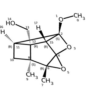 CO[C@]12OC34O[C@]3(C)[C@@]3(C)C[C@@H]1[C@@]3(CO)[C@@H]42